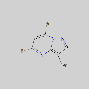 CC(C)c1cnn2c(Br)cc(Br)nc12